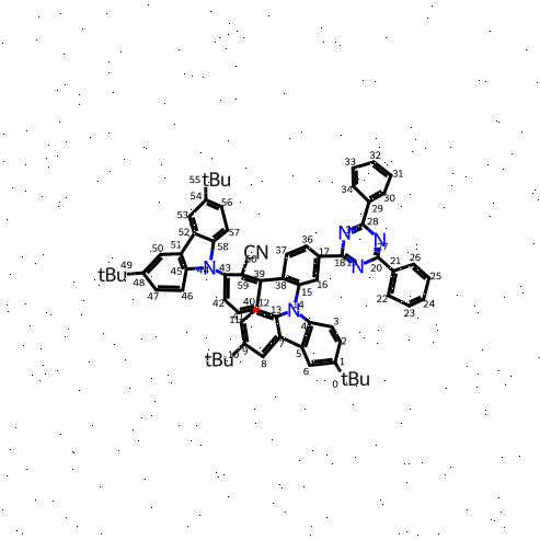 CC(C)(C)c1ccc2c(c1)c1cc(C(C)(C)C)ccc1n2-c1cc(-c2nc(-c3ccccc3)nc(-c3ccccc3)n2)ccc1-c1cccc(-n2c3ccc(C(C)(C)C)cc3c3cc(C(C)(C)C)ccc32)c1C#N